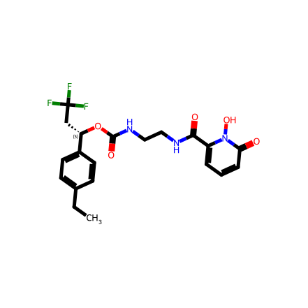 CCc1ccc([C@H](CC(F)(F)F)OC(=O)NCCNC(=O)c2cccc(=O)n2O)cc1